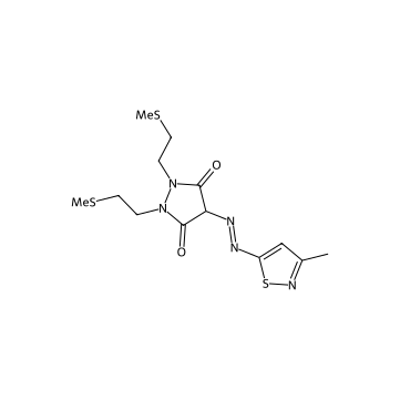 CSCCN1C(=O)C(/N=N/c2cc(C)ns2)C(=O)N1CCSC